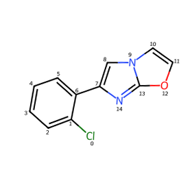 Clc1ccccc1-c1cn2ccoc2n1